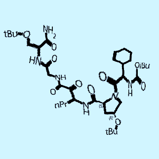 CCCC(NC(=O)[C@@H]1C[C@@H](OC(C)(C)C)CN1C(=O)C(NC(=O)OCC(C)C)C1CCCCC1)C(=O)C(=O)NCC(=O)NC(COC(C)(C)C)C(N)=O